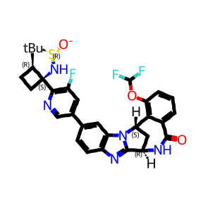 C[C@@H]1CC[C@@]1(N[S@@+]([O-])C(C)(C)C)c1ncc(-c2ccc3nc4n(c3c2)[C@H]2C[C@H]4NC(=O)c3cccc(OC(F)F)c32)cc1F